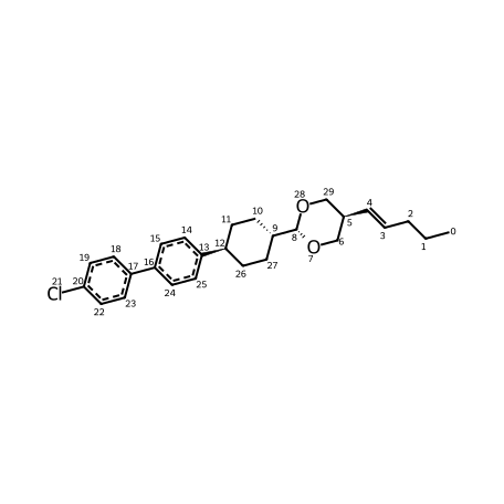 CCCC=C[C@H]1CO[C@H]([C@H]2CC[C@H](c3ccc(-c4ccc(Cl)cc4)cc3)CC2)OC1